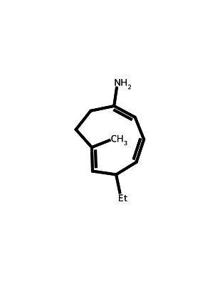 CCC1/C=C\C=C(\N)CC/C(C)=C/1